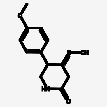 COc1ccc(C2CNC(=O)C/C2=N\O)cc1